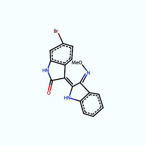 CO/N=C1\C(=C2\C(=O)Nc3cc(Br)ccc32)Nc2ccccc21